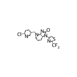 O=c1nc2n(Cc3ccc(Cl)nc3)cccc-2n1-c1csc(C(F)(F)F)n1